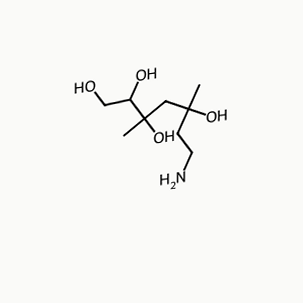 CC(O)(CCN)CC(C)(O)C(O)CO